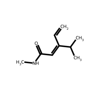 C=C/C(=C\C(=O)NC)C(C)C